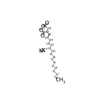 CCCCCCCCCCCCCCCC=CC(CC(=O)[O-])C(=O)[O-].[K+].[K+]